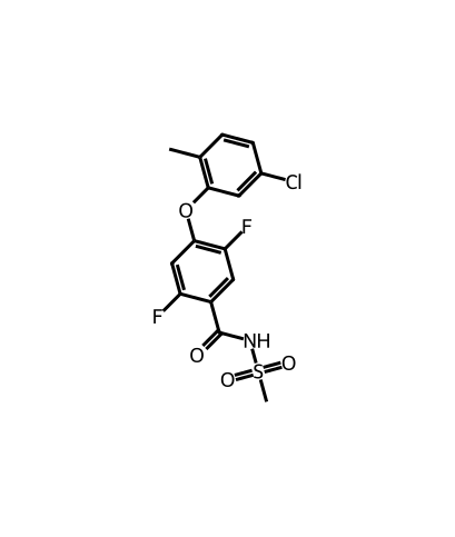 Cc1ccc(Cl)cc1Oc1cc(F)c(C(=O)NS(C)(=O)=O)cc1F